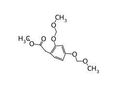 COCOc1ccc(CC(=O)OC)c(OCOC)c1